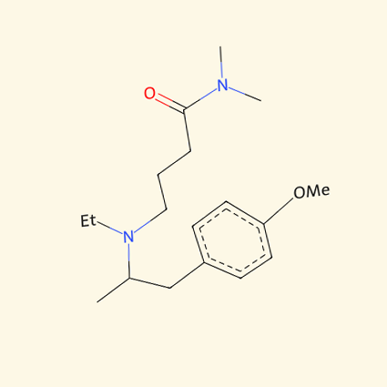 CCN(CCCC(=O)N(C)C)C(C)Cc1ccc(OC)cc1